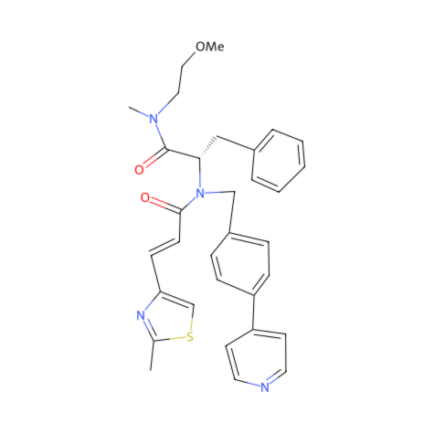 COCCN(C)C(=O)[C@H](Cc1ccccc1)N(Cc1ccc(-c2ccncc2)cc1)C(=O)C=Cc1csc(C)n1